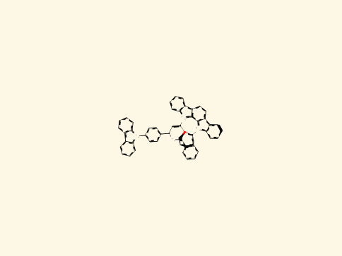 c1ccc2c(c#1)c1ccc3c4ccccc4n(C4=CC(c5ccc(-n6c7ccccc7c7ccccc76)cc5)NC(c5ccccc5)=C4)c3c1n2-c1ccccc1